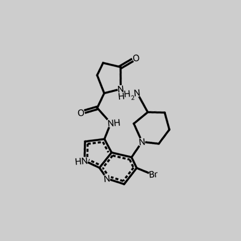 NC1CCCN(c2c(Br)cnc3[nH]cc(NC(=O)C4CCC(=O)N4)c23)C1